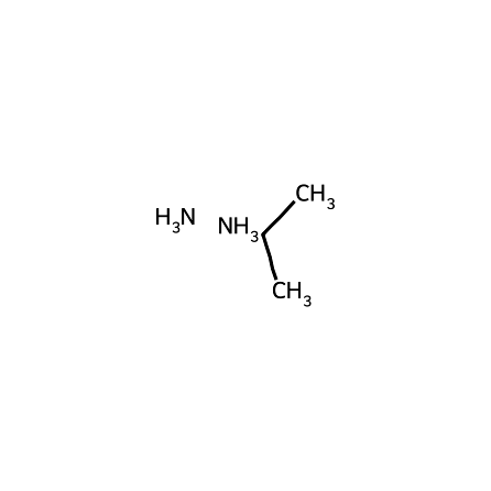 CCC.N.N